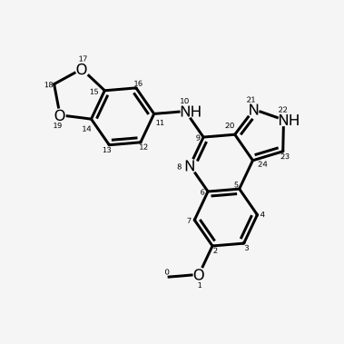 COc1ccc2c(c1)nc(Nc1ccc3c(c1)OCO3)c1n[nH]cc12